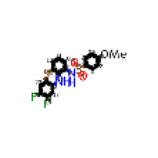 COc1ccc(S(=O)(=O)Nc2cccc3c2Nc2cc(F)c(F)cc2S3)cc1